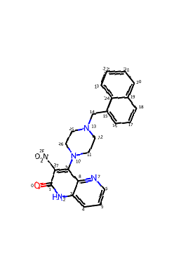 O=c1[nH]c2cccnc2c(N2CCN(Cc3cccc4ccccc34)CC2)c1[N+](=O)[O-]